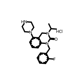 CC(C)N1Cc2c(N3CCNCC3)cccc2N(Cc2ccccc2F)C1=O.Cl